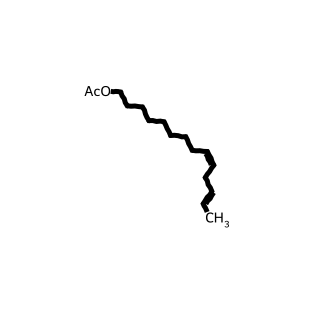 C/C=C/C/C=C\CCCCCCCCOC(C)=O